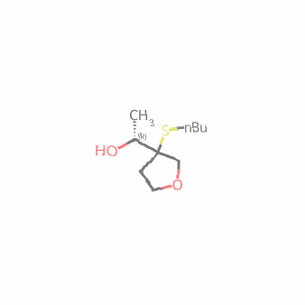 CCCCSC1([C@@H](C)O)CCOC1